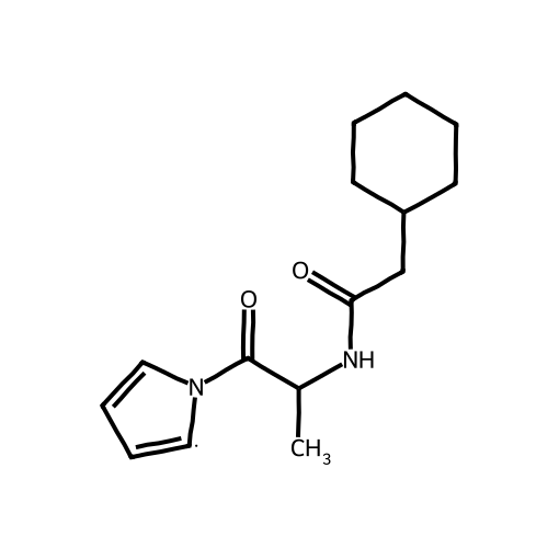 CC(NC(=O)CC1CCCCC1)C(=O)n1[c]ccc1